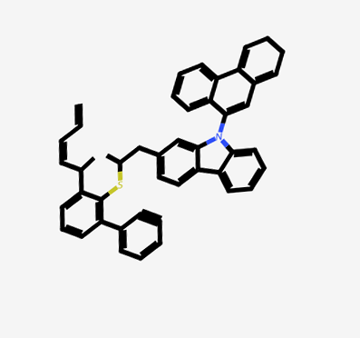 C=C/C=C\C(C)c1cccc(-c2c#cccc2)c1SC(C)Cc1ccc2c3ccccc3n(-c3cc4c(c5ccccc35)=CCCC=4)c2c1